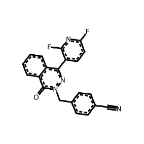 N#Cc1ccc(Cn2nc(-c3ccc(F)nc3F)c3ccccc3c2=O)cc1